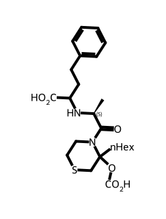 CCCCCCC1(OC(=O)O)CSCCN1C(=O)[C@H](C)NC(CCc1ccccc1)C(=O)O